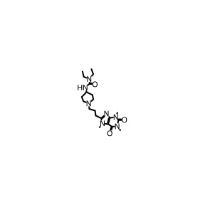 CCN(CC)C(=O)NC1CCN(CCCc2nc3c(c(=O)n(C)c(=O)n3C)n2C)CC1